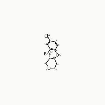 Clc1ccc(OC2CCOCC2)c(Br)c1